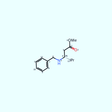 COC(=O)C[C@@H](NCc1ccccc1)C(C)C